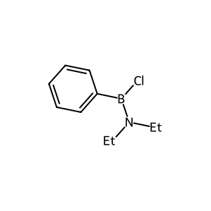 CCN(CC)B(Cl)c1ccccc1